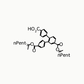 CCCCC[C@@H](C)OC(=O)c1ccc(-c2cc(C(=O)O[C@H](C)CCCCC)ccc2-c2ccc(C(=O)O)cc2)cc1